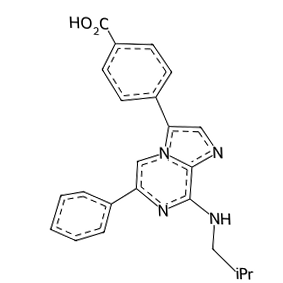 CC(C)CNc1nc(-c2ccccc2)cn2c(-c3ccc(C(=O)O)cc3)cnc12